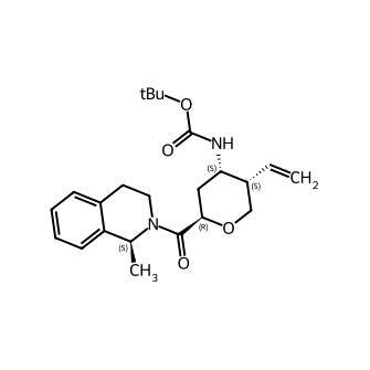 C=C[C@@H]1CO[C@@H](C(=O)N2CCc3ccccc3[C@@H]2C)C[C@@H]1NC(=O)OC(C)(C)C